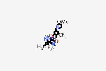 CO[C@H]1CCCN(Cc2cc3c(c(C(F)(F)F)c2)CN(c2cc(C4(c5nncn5C)CC(C)C4)cn(CC(F)(F)F)c2=O)C3=O)C1